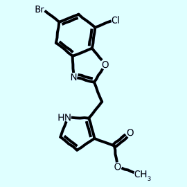 COC(=O)c1cc[nH]c1Cc1nc2cc(Br)cc(Cl)c2o1